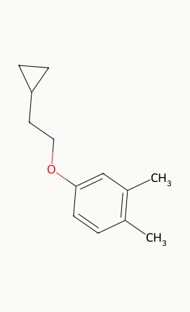 Cc1ccc(OCCC2CC2)cc1C